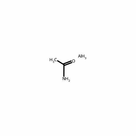 CC(N)=O.[AlH3]